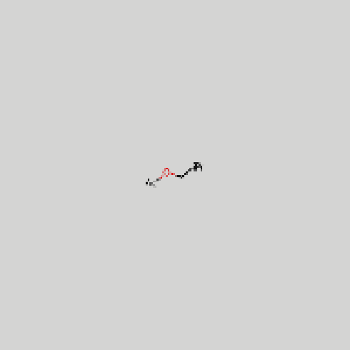 [CH]C(=O)OCC(C)C